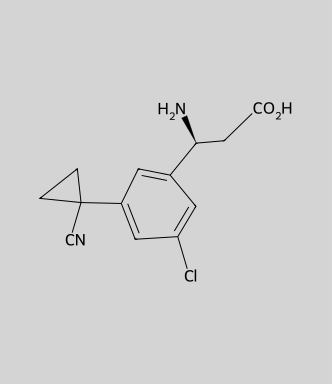 N#CC1(c2cc(Cl)cc([C@@H](N)CC(=O)O)c2)CC1